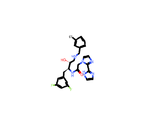 CCc1cccc(CNC[C@@H](O)[C@H](Cc2cc(F)cc(F)c2)NC(=O)Cn2ccnc2-c2ncc[nH]2)c1